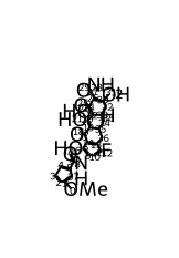 COc1cccc(C(=O)Nc2cc(F)c3c(c2O)C(=O)C2=C(O)[C@]4(O)C(=O)C(C(N)=O)=C(O)C[C@@H]4CC2C3)c1